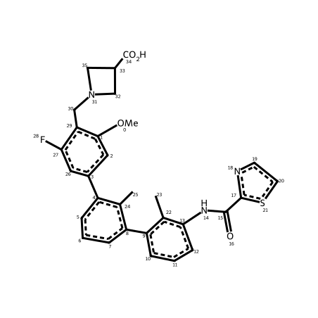 COc1cc(-c2cccc(-c3cccc(NC(=O)c4nccs4)c3C)c2C)cc(F)c1CN1CC(C(=O)O)C1